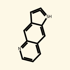 C1=Cc2cc3ncccc3cc2[SH]=1